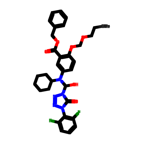 COCCOCOc1ccc(N(C2CCCCC2)C(O)n2nnn(-c3c(F)cccc3F)c2=O)cc1C(=O)OCc1ccccc1